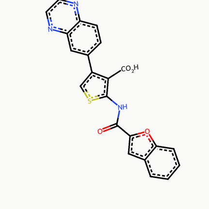 O=C(Nc1scc(-c2ccc3nccnc3c2)c1C(=O)O)c1cc2ccccc2o1